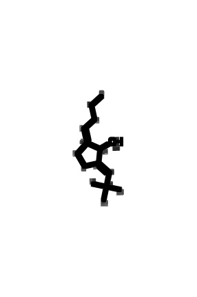 CCCC=C1CCC(=CC(C)(C)C)C1O